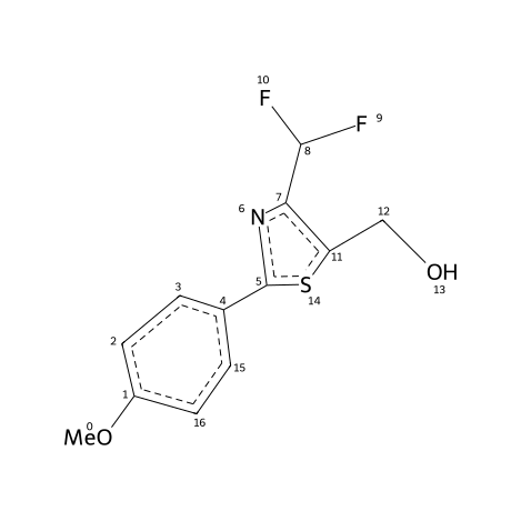 COc1ccc(-c2nc(C(F)F)c(CO)s2)cc1